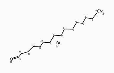 CCCCCCCCCCCCCCCC=O.[Ni]